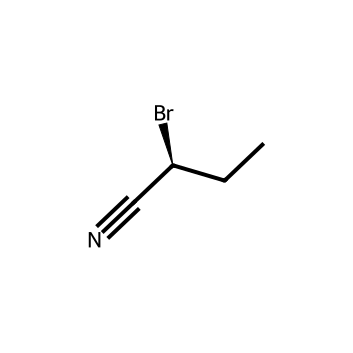 CC[C@H](Br)C#N